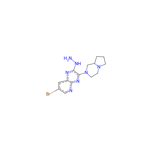 NNc1nc2cc(Br)cnc2nc1N1CCN2CCCC2C1